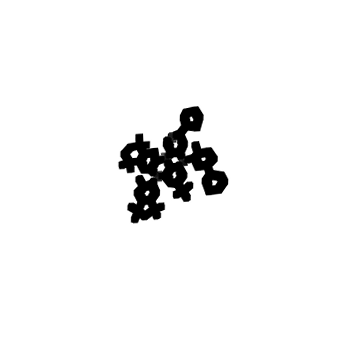 Cc1ccc(-c2ccccc2)cc1N1c2cc(-c3ccccc3)ccc2B2c3cc4c(cc3N(c3cc5c(cc3C)C(C)(C)CC5(C)C)c3cc(C(C)(C)C)cc1c32)C(C)(C)CCC4(C)C